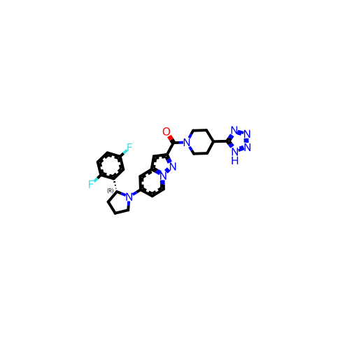 O=C(c1cc2cc(N3CCC[C@@H]3c3cc(F)ccc3F)ccn2n1)N1CCC(c2nnn[nH]2)CC1